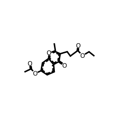 CCOC(=O)CCc1c(C)oc2cc(OC(C)=O)ccc2c1=O